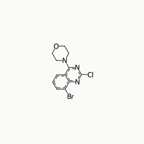 Clc1nc(N2CCOCC2)c2cccc(Br)c2n1